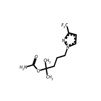 CC(C)(CCCn1ccc(C(F)(F)F)n1)OC(N)=O